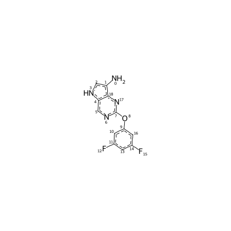 Nc1c[nH]c2cnc(Oc3cc(F)cc(F)c3)nc12